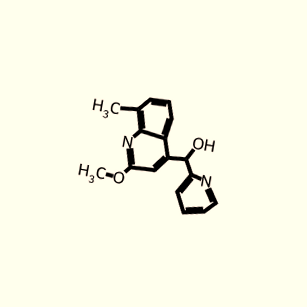 COc1cc(C(O)c2ccccn2)c2cccc(C)c2n1